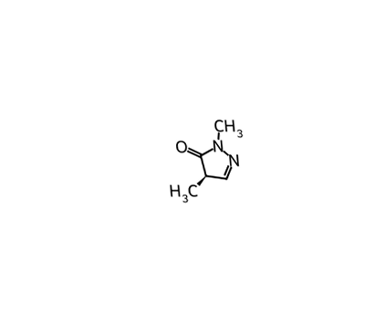 C[C@@H]1C=NN(C)C1=O